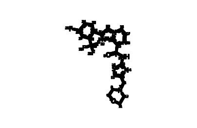 O=C(Nc1nc(CN2CCOCC2)cs1)c1nccn2cc(-c3ccc(F)cc3C(F)(F)F)nc12